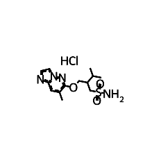 Cc1cc2nccn2nc1OCC(CS(N)(=O)=O)C(C)C.Cl